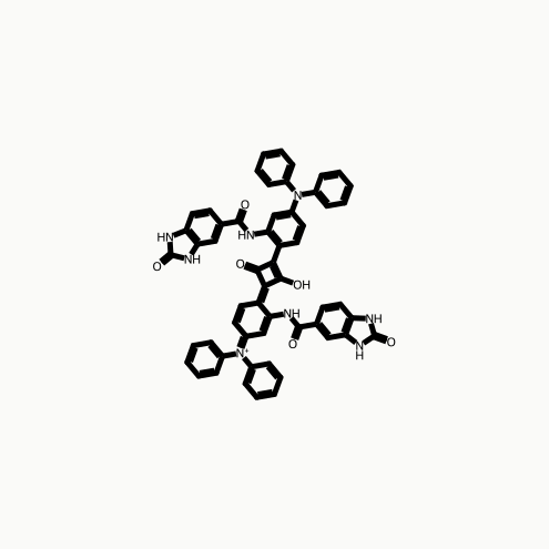 O=C1C(c2ccc(N(c3ccccc3)c3ccccc3)cc2NC(=O)c2ccc3[nH]c(=O)[nH]c3c2)=C(O)/C1=C1/C=CC(=[N+](c2ccccc2)c2ccccc2)C=C1NC(=O)c1ccc2[nH]c(=O)[nH]c2c1